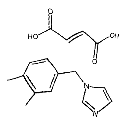 Cc1ccc(Cn2ccnc2)cc1C.O=C(O)C=CC(=O)O